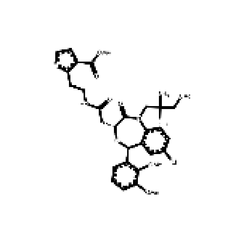 COC(=O)c1ccoc1CCNC(=O)C[C@H]1O[C@H](c2cccc(OC)c2OC)c2cc(Cl)ccc2N(CC(C)(C)COC(C)=O)C1=O